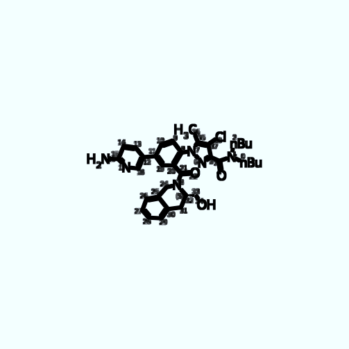 CCCCN(CCCC)C(=O)c1nn(-c2ccc(-c3ccc(N)nc3)cc2C(=O)N2Cc3ccccc3C[C@H]2CO)c(C)c1Cl